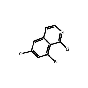 Clc1cc(Br)c2c(Cl)nccc2c1